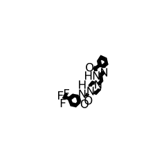 COc1ccc(C(F)(F)F)cc1NC(=O)N1CCN(Cc2nc3ccccc3c(=O)[nH]2)CC1